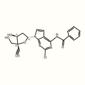 C#C[C@]1(CO)O[C@@H](n2ccc3c(NC(=O)c4ccccc4)nc(Cl)nc32)C[C@@H]1O